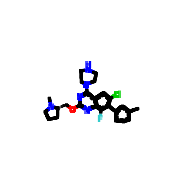 Cc1cccc(-c2c(Cl)cc3c(N4CCNCC4)nc(OC[C@@H]4CCCN4C)nc3c2F)c1